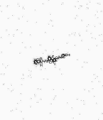 Cc1c(OCCCNC(Cc2ccccn2)C(=O)O)cccc1-c1cccc(OCCCN2CC[C@@H](O)C2)c1C